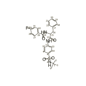 CC(C)(C)NS(=O)(=O)c1ccc(NC(=O)C(Cc2ccccc2)NC(=O)c2ccc(F)cc2)cc1